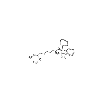 COC(CCCCCCO[Si](c1ccccc1)(c1ccccc1)C(C)(C)C)OC